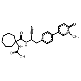 Cn1cc(-c2ccc(CC(C#N)NC(=O)C3(NC(=O)O)CCCCCC3)cc2)ccc1=O